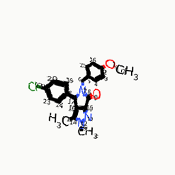 COc1ccc(CN2C(=O)c3nn(C)c(C)c3C2c2ccc(Cl)cc2)cc1